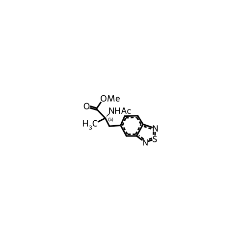 COC(=O)[C@](C)(Cc1ccc2nsnc2c1)NC(C)=O